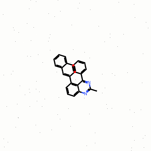 Cc1nc(-c2ccccc2)c2c(-c3ccc4ccccc4c3)cccc2n1